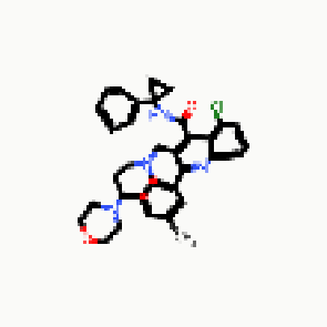 O=C(NC1(c2ccccc2)CC1)c1c(CN2CCC(N3CCOCC3)CC2)c(-c2cccc(C(F)(F)F)c2)nc2cccc(Cl)c12